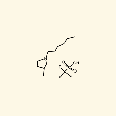 CCCCCCN1CCC(C)C1.O=S(=O)(O)C(F)(F)F